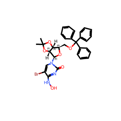 CC1(C)O[C@@H]2[C@H](O1)[C@@H](COC(c1ccccc1)(c1ccccc1)c1ccccc1)O[C@H]2n1cc(Br)c(NO)nc1=O